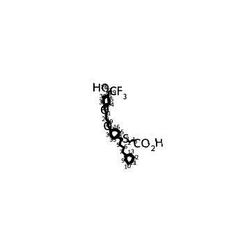 O=C(O)CCSC(CCCc1ccccc1)c1ccc(OCCCOc2ccc(C(O)C(F)(F)F)cc2)cc1